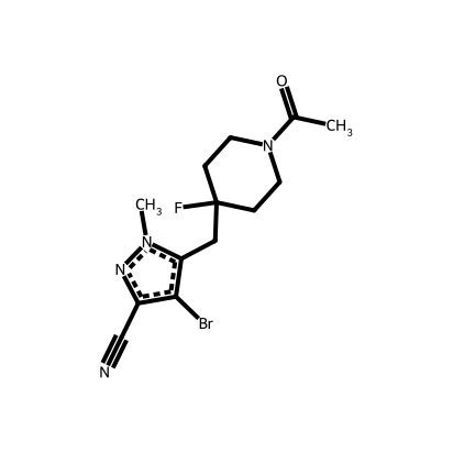 CC(=O)N1CCC(F)(Cc2c(Br)c(C#N)nn2C)CC1